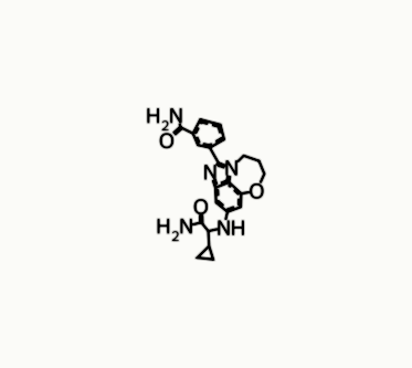 NC(=O)c1cccc(-c2nc3cc(NC(C(N)=O)C4CC4)cc4c3n2CCCO4)c1